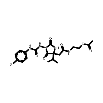 CC(=O)OCCNC(=O)CC1(C(C)C)NC(=O)N(NC(=O)Nc2ccc(Br)cc2)C1=O